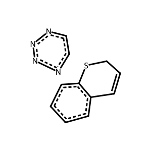 C1=Cc2ccccc2SC1.c1cnnnn1